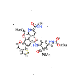 CCCNC(=O)c1ccc(-c2cc3c(cc2C(=O)Nc2ccc(CNC(=O)OC(C)(C)C)cc2C(=O)NC)-c2sccc2CCO3)c(C(=O)OC)n1